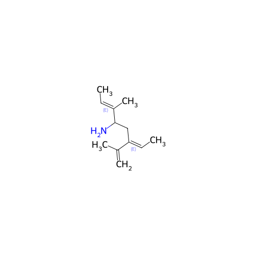 C=C(C)/C(=C/C)CC(N)/C(C)=C/C